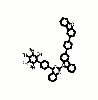 [2H]c1c([2H])c([2H])c(-c2ccc(-c3nc(-n4c5ccccc5c5cc(-c6ccc(-c7ccc8oc9ccccc9c8c7)cc6)ccc54)nc4ccccc34)cc2)c([2H])c1[2H]